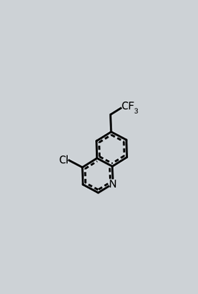 FC(F)(F)Cc1ccc2nccc(Cl)c2c1